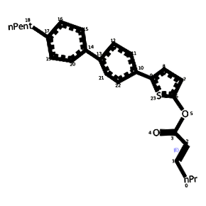 CCC/C=C/C(=O)Oc1ccc(-c2ccc(-c3ccc(CCCCC)cc3)cc2)s1